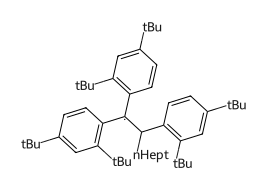 CCCCCCCC([C](c1ccc(C(C)(C)C)cc1C(C)(C)C)c1ccc(C(C)(C)C)cc1C(C)(C)C)c1ccc(C(C)(C)C)cc1C(C)(C)C